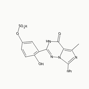 CCCc1nc(C)c2c(=O)[nH]c(-c3cc(OS(=O)(=O)O)ccc3O)nn12